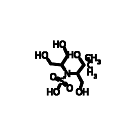 CC.O=S(=O)(O)N(C(CO)CO)C(CO)CO